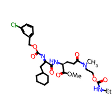 CCNC(=O)OCCN(C)C(=O)CC[C@H](NC(=O)/C(CC1CCCCC1)=N/C(=O)OCc1cccc(Cl)c1)C(=O)OC